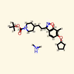 CNC.Cc1c(OC2CCCC2)ccc2c(CCC3CCN(C(=O)OC(C)(C)C)CC3)noc12